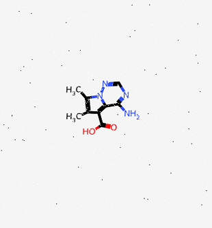 Cc1c(C(=O)O)c2c(N)ncnn2c1C